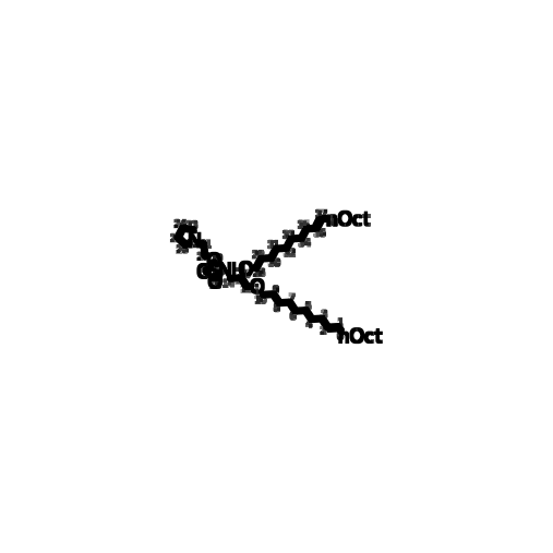 CCCCCCCCC=CCCCCCCCCOCC(CNS(=O)(=O)OCCN1CCCC1)OCCCCCCCCC=CCCCCCCCC